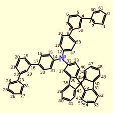 c1ccc(-c2cccc(-c3ccc(N(c4ccc(-c5cccc(-c6ccccc6)c5)cc4)c4ccc5c(c4)-c4ccccc4C54c5ccccc5-c5ccccc54)cc3)c2)cc1